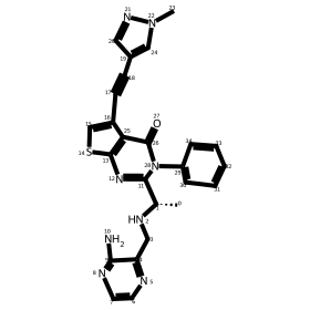 C[C@H](NCc1nccnc1N)c1nc2scc(C#Cc3cnn(C)c3)c2c(=O)n1-c1ccccc1